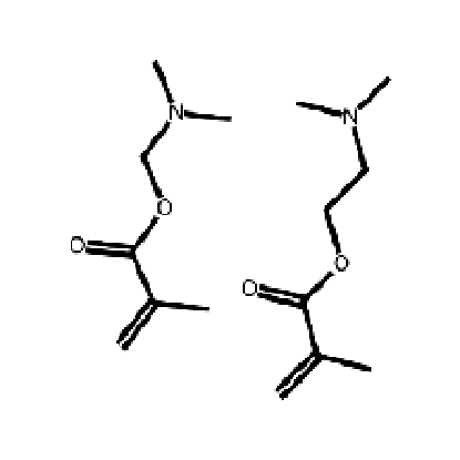 C=C(C)C(=O)OCCN(C)C.C=C(C)C(=O)OCN(C)C